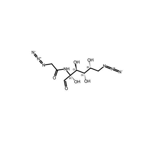 [N-]=[N+]=NCC(=O)N[C@](O)(C=O)[C@@H](O)[C@@H](O)[C@H](O)CN=[N+]=[N-]